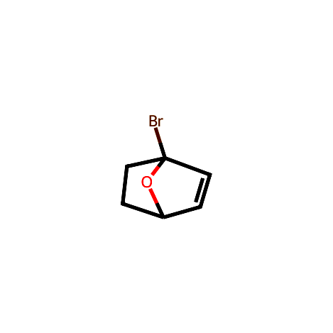 BrC12C=CC(CC1)O2